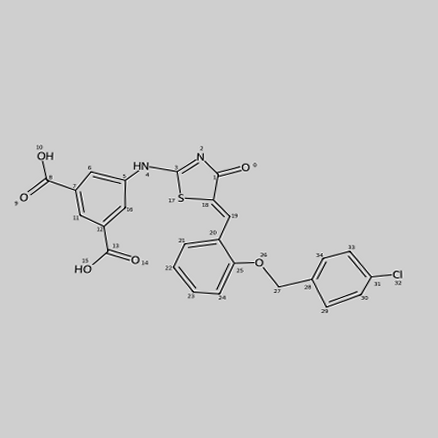 O=C1N=C(Nc2cc(C(=O)O)cc(C(=O)O)c2)S/C1=C\c1ccccc1OCc1ccc(Cl)cc1